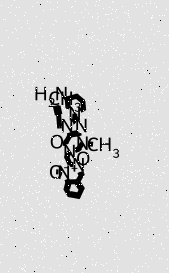 CC#CCn1c(N2CCC[C@@H](N)C2)nc2c1c(=O)n(Cc1ncc3ccccc3[n+]1[O-])c(=O)n2C